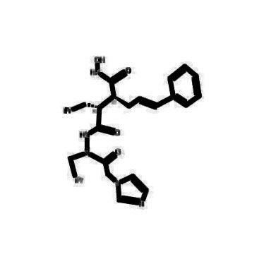 CC(C)C[C@@H](C(=O)NN(CC(C)C)C(=O)Cn1ccnc1)[C@H](CC=Cc1ccccc1)C(=O)NO